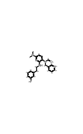 CN(C)c1ccc(N(C=O)Cc2cccnc2)c(NCCc2cccc(F)c2)n1